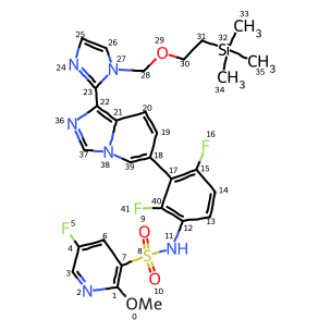 COc1ncc(F)cc1S(=O)(=O)Nc1ccc(F)c(-c2ccc3c(-c4nccn4COCC[Si](C)(C)C)ncn3c2)c1F